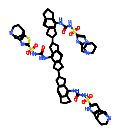 O=C(Nc1c2c(cc3c1CC(C1Cc4cc5c(c(NC(=O)NS(=O)(=O)c6nc7c(s6)C6CCN(CC6)C7)c4C1)CC(C1Cc4cc6c(c(NC(=O)NS(=O)(=O)c7cc8c([nH]7)C7CCN(CC7)C8)c4C1)CCC6)C5)C3)CCC2)NS(=O)(=O)c1cn2c(n1)CN1CCC2CC1